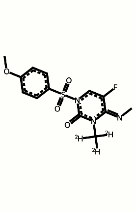 [2H]C([2H])([2H])n1c(=O)n(S(=O)(=O)c2ccc(OC)cc2)cc(F)/c1=N\C